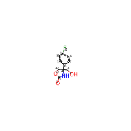 O=C1NC(CO)(c2ccc(F)cc2)CO1